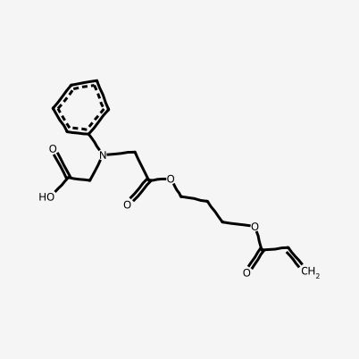 C=CC(=O)OCCCOC(=O)CN(CC(=O)O)c1ccccc1